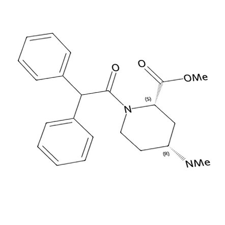 CN[C@@H]1CCN(C(=O)C(c2ccccc2)c2ccccc2)[C@H](C(=O)OC)C1